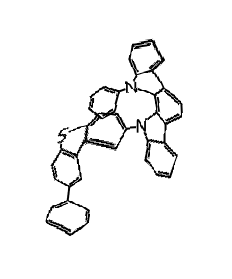 c1ccc(-c2ccc3sc4ccc(-n5c6ccccc6c6ccc7c8ccccc8n(-c8ccccc8)c7c65)cc4c3c2)cc1